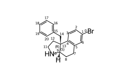 Brc1ccc2c(c1)CC[C@@H]1NCC[C@]21Cc1ccccc1